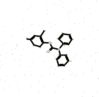 CC1=CC(C)=C(OC(=O)N(c2ccccc2)c2ccccc2)[CH]C1